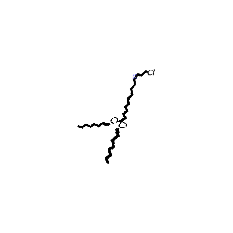 CCCCCCCCOC(CCCCCCCCC/C=C\CCCl)OCCCCCCCC